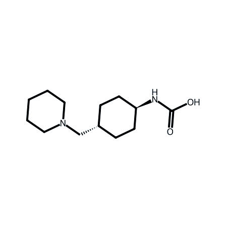 O=C(O)N[C@H]1CC[C@H](CN2CCCCC2)CC1